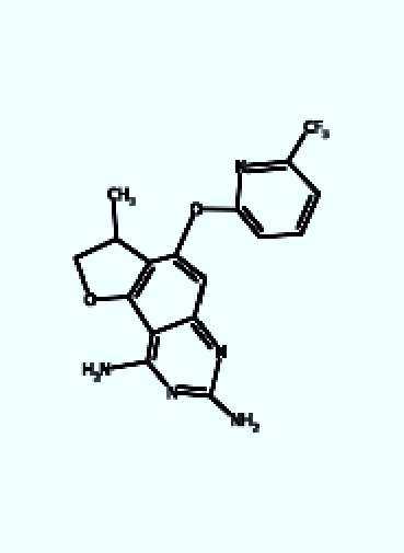 CC1COc2c1c(Oc1cccc(C(F)(F)F)n1)cc1nc(N)nc(N)c21